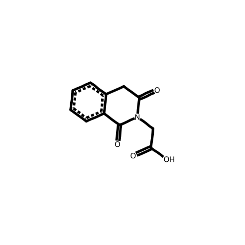 O=C(O)CN1C(=O)Cc2ccccc2C1=O